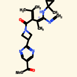 C=N/C(NC1(C)CC1)=C(\C)C(C(=O)N1CC(c2ncc(C(=O)OC)cn2)C1)=C(C)C